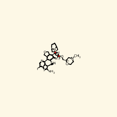 CN1CCO[C@@H](COc2nc(N3C4CCC3CN(CCF)C4)c3c4c(c(-c5ncc(F)c6sc(N)c(C#N)c56)c(F)c3n2)COC4)C1